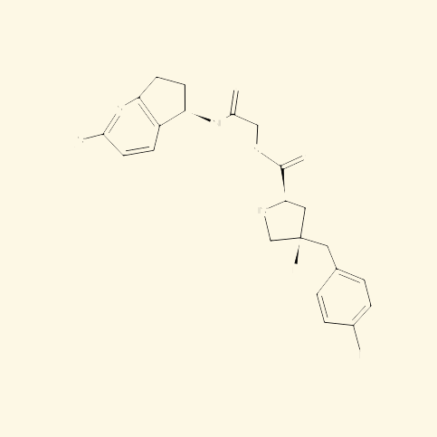 C[C@H](NC(=O)[C@H]1C[C@](F)(Cc2ccc(F)cc2)CN1)C(=O)N[C@@H]1CCc2nc(N)ccc21